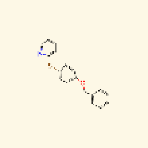 c1ccc(COc2ccc(Sc3ccccn3)cc2)cc1